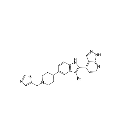 CCc1c(-c2ccnc3[nH]ncc23)[nH]c2ccc(C3CCN(Cc4cncs4)CC3)cc12